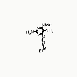 CCOCOCOc1nc(N)nc(NC)c1N